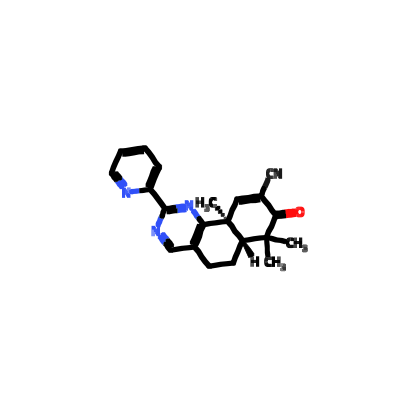 CC1(C)C(=O)C(C#N)=C[C@]2(C)c3nc(-c4ccccn4)ncc3CC[C@@H]12